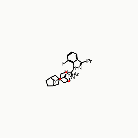 CC(=O)N1CCC(N2C3CCC2CC(c2nc(-n4nc(C(C)C)c5cccc(F)c54)no2)C3)CC1